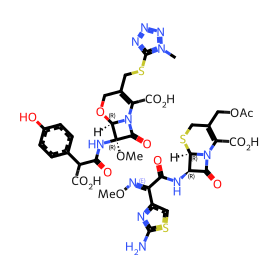 CO/N=C(/C(=O)N[C@@H]1C(=O)N2C(C(=O)O)=C(COC(C)=O)CS[C@H]12)c1csc(N)n1.CO[C@@]1(NC(=O)C(C(=O)O)c2ccc(O)cc2)C(=O)N2C(C(=O)O)=C(CSc3nnnn3C)CO[C@@H]21